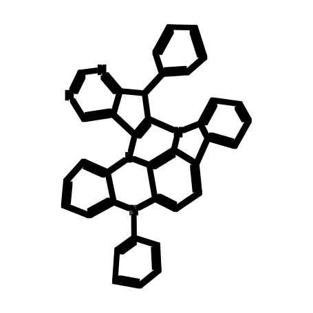 c1ccc(C2C3=C(B4c5ccccc5N(c5ccccc5)c5ccc6c7ccccc7n3c6c54)c3cncnc32)cc1